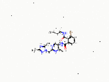 CSC[C@H](C)NC(=O)c1c(Br)cccc1C(=O)Nc1cnc(Cn2nc(C(F)(F)F)nc2C(F)(F)F)nc1C